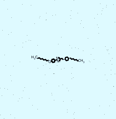 CCCCCCCCCOc1ccc(-c2ncc(CC[C@H]3CC[C@H](CCCCCCC)CC3)cn2)cc1